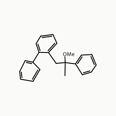 COC(C)(Cc1ccccc1-c1ccccc1)c1ccccc1